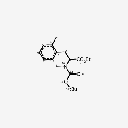 CCOC(=O)C(Cc1ccccc1C)N(C)C(=O)OC(C)(C)C